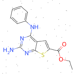 CCOC(=O)c1cc2c(Nc3ccccc3)nc(N)nc2s1